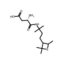 CC1SC(C)(C)C1CCC(C)(C)NC(=O)[C@@H](N)CC(=O)O